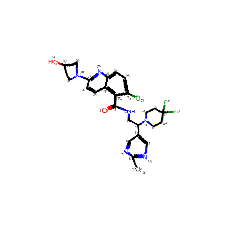 O=C(NCC(c1cnc(C(F)(F)F)nc1)N1CCC(F)(F)CC1)c1c(Cl)ccc2nc(N3CC(O)C3)ccc12